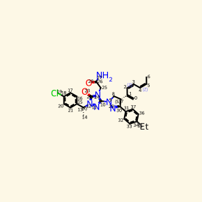 C=C(/C=C\C=C/C)[C@H]1CN(c2nn([C@H](C)c3ccc(Cl)cc3)c(=O)n2CC(N)=O)N=C1c1ccc(CC)cc1